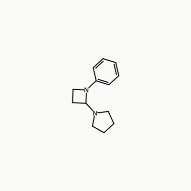 c1ccc(N2CCC2N2CCCC2)cc1